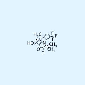 C[C@@H](c1ccc(C(F)(F)F)cc1)n1nc(CO)c2c(=O)[nH]c(N(C)C)nc21